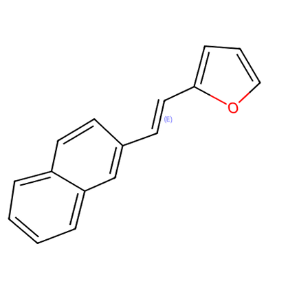 C(=C\c1ccco1)/c1ccc2ccccc2c1